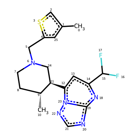 Cc1csc(CN2CC[C@@H](C)[C@H](c3cc(C(F)F)nc4ncnn34)C2)c1